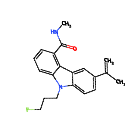 C=C(C)c1ccc2c(c1)c1c(C(=O)NC)cccc1n2CCCF